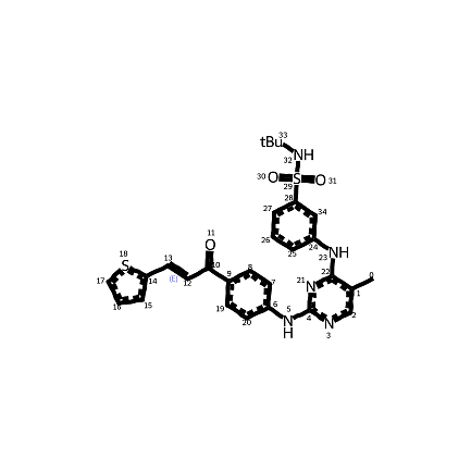 Cc1cnc(Nc2ccc(C(=O)/C=C/c3cccs3)cc2)nc1Nc1cccc(S(=O)(=O)NC(C)(C)C)c1